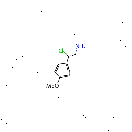 COc1ccc(C(Cl)CN)cc1